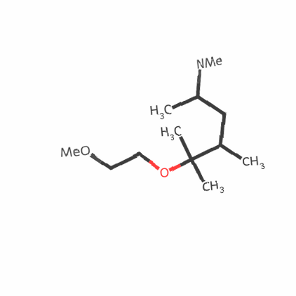 CNC(C)CC(C)C(C)(C)OCCOC